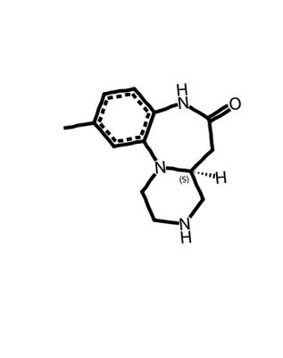 Cc1ccc2c(c1)N1CCNC[C@@H]1CC(=O)N2